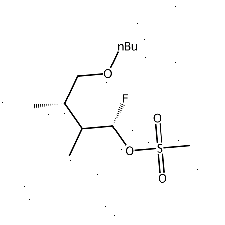 CCCCOC[C@@H](C)C(C)[C@H](F)OS(C)(=O)=O